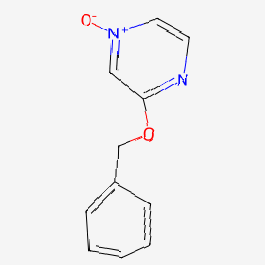 [O-][n+]1ccnc(OCc2ccccc2)c1